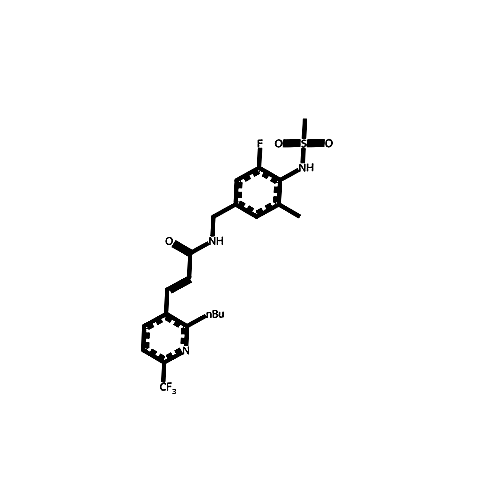 CCCCc1nc(C(F)(F)F)ccc1/C=C/C(=O)NCc1cc(C)c(NS(C)(=O)=O)c(F)c1